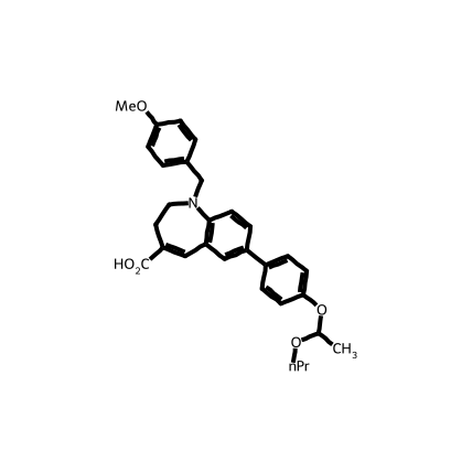 CCCOC(C)Oc1ccc(-c2ccc3c(c2)C=C(C(=O)O)CCN3Cc2ccc(OC)cc2)cc1